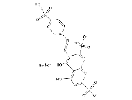 O=S(=O)([O-])c1cc(O)c2c(O)c(N=Nc3ccc(S(=O)(=O)O)cc3)c(S(=O)(=O)[O-])cc2c1.[Na+].[Na+]